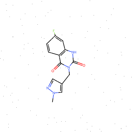 Cn1cc(Cn2c(=O)[nH]c3cc(F)ccc3c2=O)cn1